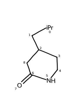 CC(C)CC1CCNC(=O)C1